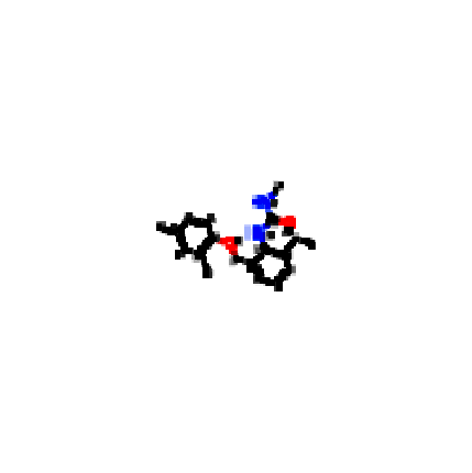 CCc1cccc(COc2ccc(C)cc2C)c1NC(=O)NC